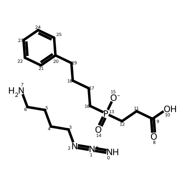 N=[N+]=NCCCCN.O=C(O)CCP(=O)([O-])CCCCc1ccccc1